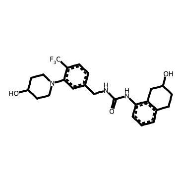 O=C(NCc1ccc(C(F)(F)F)c(N2CCC(O)CC2)c1)Nc1cccc2c1CC(O)CC2